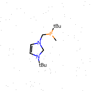 CP(CN1C=CN(C(C)(C)C)C1)C(C)(C)C